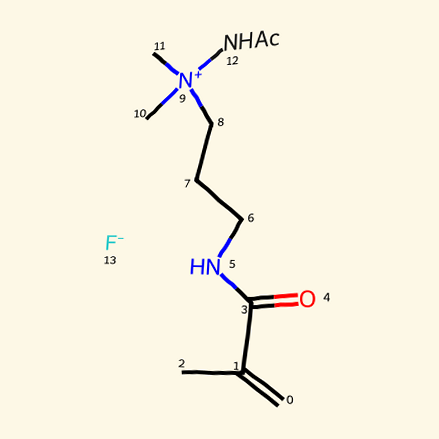 C=C(C)C(=O)NCCC[N+](C)(C)NC(C)=O.[F-]